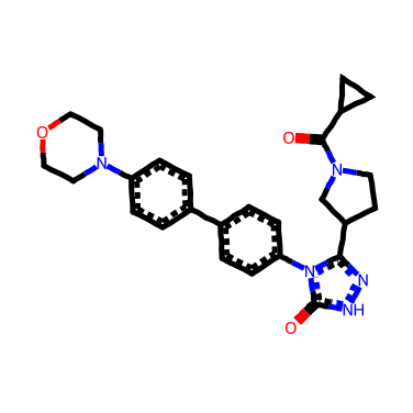 O=C(C1CC1)N1CCC(c2n[nH]c(=O)n2-c2ccc(-c3ccc(N4CCOCC4)cc3)cc2)C1